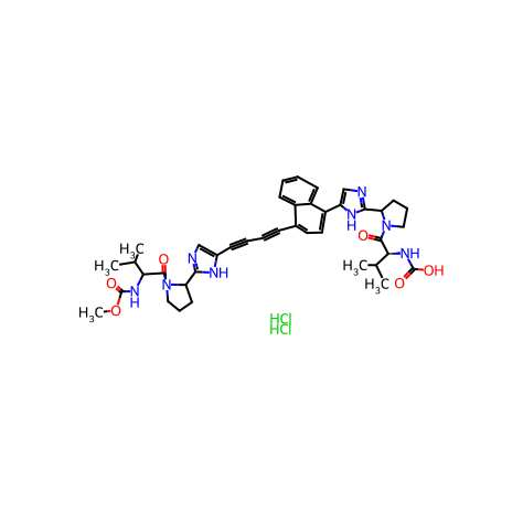 COC(=O)NC(C(=O)N1CCCC1c1ncc(C#CC#Cc2ccc(-c3cnc(C4CCCN4C(=O)[C@@H](NC(=O)O)C(C)C)[nH]3)c3ccccc23)[nH]1)C(C)C.Cl.Cl